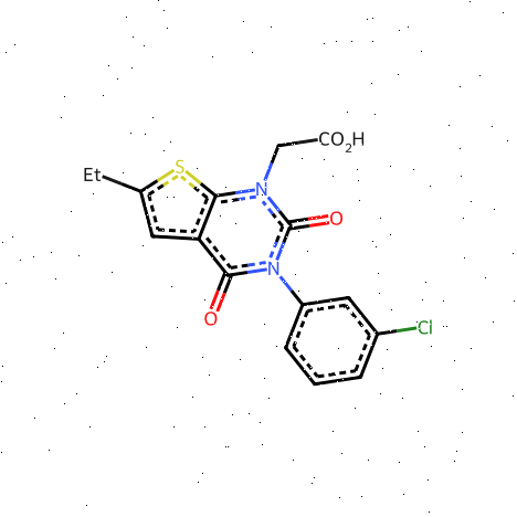 CCc1cc2c(=O)n(-c3cccc(Cl)c3)c(=O)n(CC(=O)O)c2s1